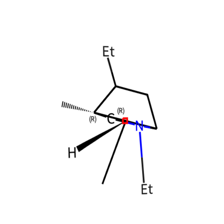 CCC1CC2C[C@@H](C)[C@@]1(C)CN2CC